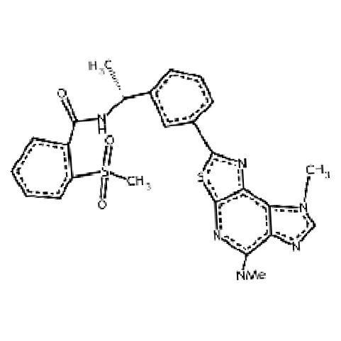 CNc1nc2sc(-c3cccc([C@@H](C)NC(=O)c4ccccc4S(C)(=O)=O)c3)nc2c2c1ncn2C